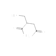 CCC(CC(=O)Cl)C(=O)O